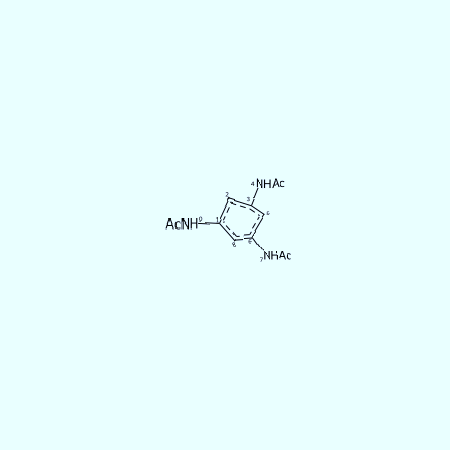 CC(=O)Nc1cc(NC(C)=O)cc(NC(C)=O)c1